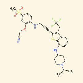 CC(C)N1CCC(Nc2cccc3c(CC(F)(F)F)c(C#CCNc4ccc(S(C)(=O)=O)cc4OCC#N)sc23)CC1